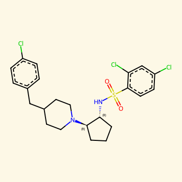 O=S(=O)(N[C@@H]1CCC[C@H]1N1CCC(Cc2ccc(Cl)cc2)CC1)c1ccc(Cl)cc1Cl